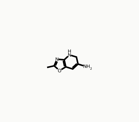 Cc1nc2c(o1)C=C(N)CN2